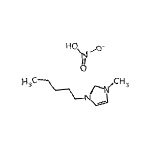 CCCCCN1C=CN(C)C1.O=[N+]([O-])O